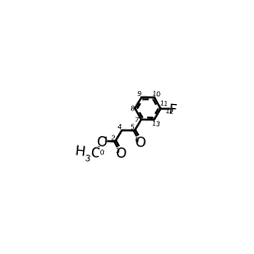 COC(=O)CC(=O)c1cccc(F)c1